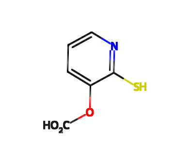 O=C(O)Oc1cccnc1S